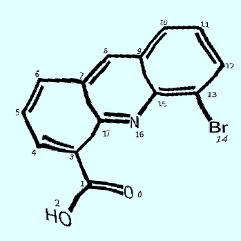 O=C(O)c1cccc2cc3cccc(Br)c3nc12